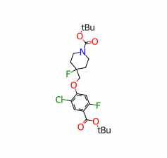 CC(C)(C)OC(=O)c1cc(Cl)c(OCC2(F)CCN(C(=O)OC(C)(C)C)CC2)cc1F